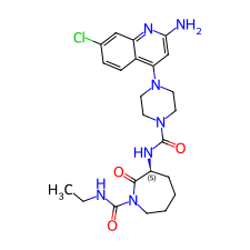 CCNC(=O)N1CCCC[C@H](NC(=O)N2CCN(c3cc(N)nc4cc(Cl)ccc34)CC2)C1=O